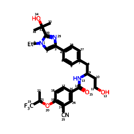 CCn1cc(-c2ccc(CC(CCO)NC(=O)c3ccc(OC(C)C(F)(F)F)c(C#N)c3)cc2)nc1C(C)(C)O